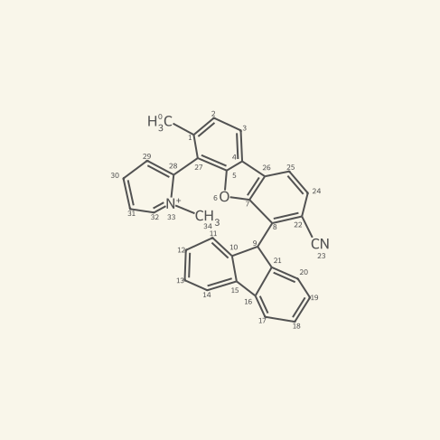 Cc1ccc2c(oc3c(C4c5ccccc5-c5ccccc54)c(C#N)ccc32)c1-c1cccc[n+]1C